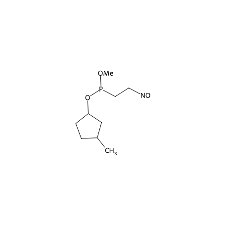 COP(CCN=O)OC1CCC(C)C1